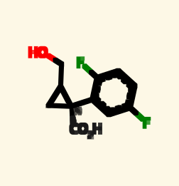 O=C(O)[C@@]1(c2cc(F)ccc2F)CC1CO